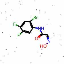 O=C(/C=N\O)Nc1cc(F)c(F)cc1Br